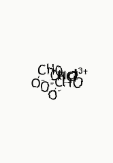 O=C[O-].O=C[O-].O=C[O-].[Nd+3]